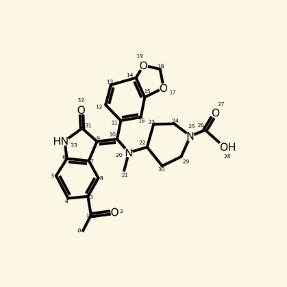 CC(=O)c1ccc2c(c1)C(=C(c1ccc3c(c1)OCO3)N(C)C1CCN(C(=O)O)CC1)C(=O)N2